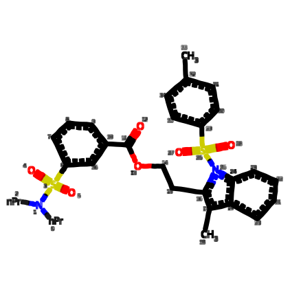 CCCN(CCC)S(=O)(=O)c1cccc(C(=O)OCCc2c(C)c3ccccc3n2S(=O)(=O)c2ccc(C)cc2)c1